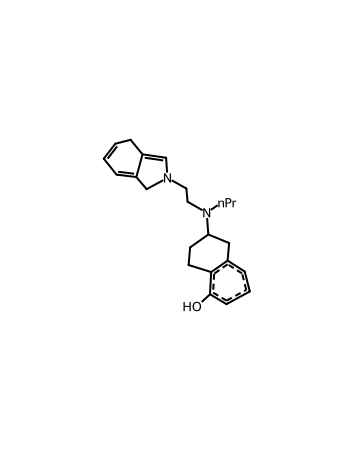 CCCN(CCN1C=C2CC=CC=C2C1)C1CCc2c(O)cccc2C1